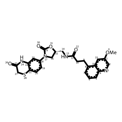 COc1cnc2cccc(CCC(=O)NC[C@@H]3CN(c4ccc5c(c4)NC(=O)CS5)C(=O)O3)c2c1